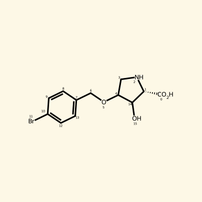 O=C(O)[C@H]1NCC(OCc2ccc(Br)cc2)C1O